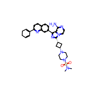 CN(C)S(=O)(=O)N1CCN([C@H]2C[C@@H](c3nc(-c4ccc5ccc(C6=CCCC=C6)nc5c4)c4c(N)nccn43)C2)CC1